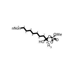 CCCCCCCCCCCCCCCCC(C)(O)OS(=O)(=O)OC